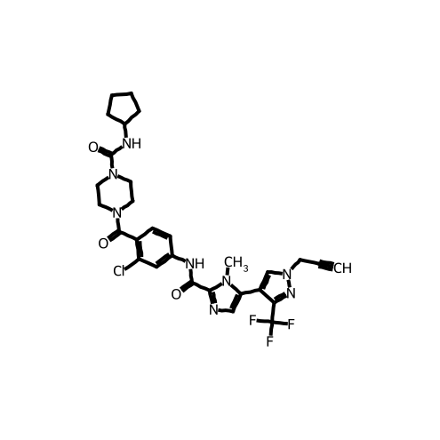 C#CCn1cc(-c2cnc(C(=O)Nc3ccc(C(=O)N4CCN(C(=O)NC5CCCC5)CC4)c(Cl)c3)n2C)c(C(F)(F)F)n1